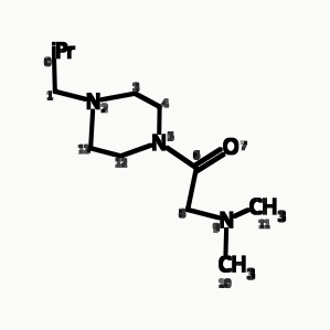 CC(C)CN1CCN(C(=O)CN(C)C)CC1